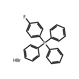 Br.Fc1ccc([P](c2ccccc2)(c2ccccc2)c2ccccc2)cc1